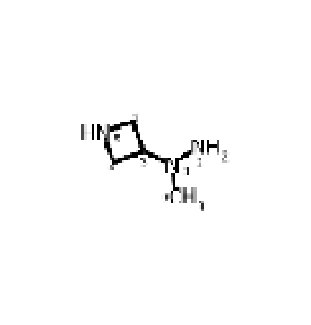 CN(N)C1CNC1